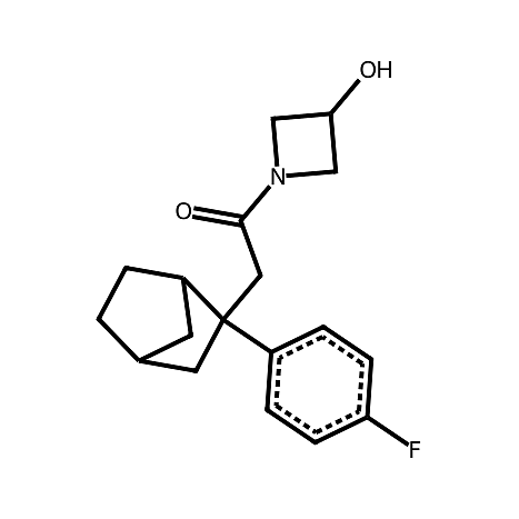 O=C(CC1(c2ccc(F)cc2)CC2CCC1C2)N1CC(O)C1